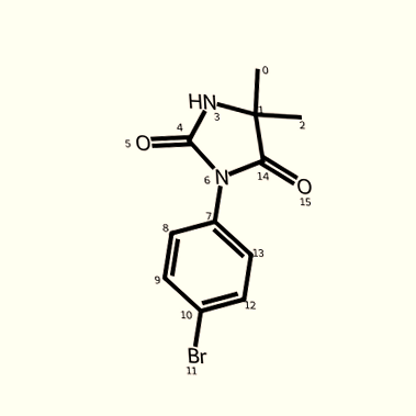 CC1(C)NC(=O)N(c2ccc(Br)cc2)C1=O